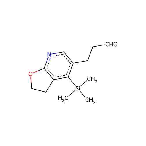 C[Si](C)(C)c1c(CCC=O)cnc2c1CCO2